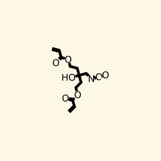 C=CC(=O)OCCC(O)(CCOC(=O)C=C)CN=C=O